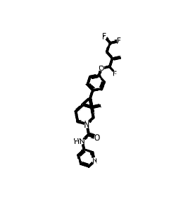 CC(CC(F)F)C(F)Oc1ccc(C2C3CCN(C(=O)Nc4cccnc4)CC32C)cc1